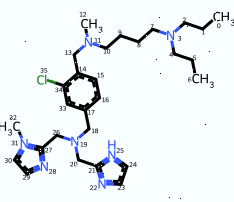 CCCN(CCC)CCCCN(C)Cc1ccc(CN(Cc2ncc[nH]2)Cc2nccn2C)cc1Cl